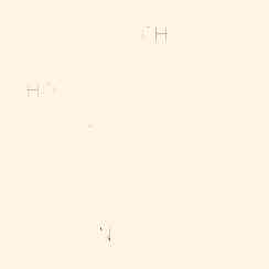 C#CC1(O)CC=Nc2ccccc21